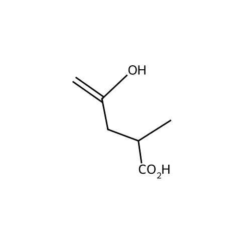 C=C(O)CC(C)C(=O)O